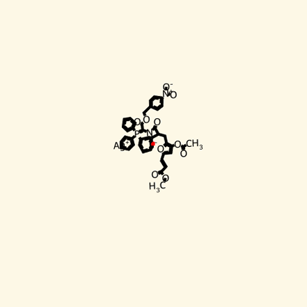 COC(=O)C=Cc1cc(OC(C)=O)c(CC2C(=O)N(C(C(=O)OCc3ccc([N+](=O)[O-])cc3)=P(c3ccccc3)(c3ccccc3)c3ccccc3)C2[S-])o1.[Ag+]